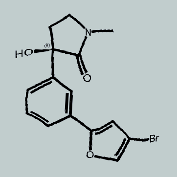 CN1CC[C@@](O)(c2cccc(-c3cc(Br)co3)c2)C1=O